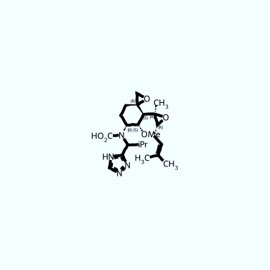 CO[C@@H]1[C@H](N(C(=O)O)C(c2nnc[nH]2)C(C)C)CC[C@]2(CO2)[C@H]1[C@@]1(C)O[C@@H]1CC=C(C)C